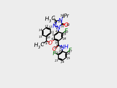 Cc1nn(-c2cc(OC(C)c3ccccc3)c(C(=O)Nc3c(F)cccc3F)cc2F)c(=O)n1C(C)C